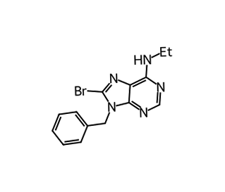 CCNc1ncnc2c1nc(Br)n2Cc1ccccc1